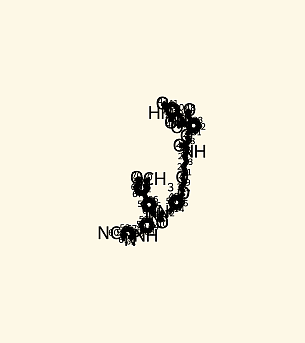 Cn1cc(-c2ccc(N(C(=O)NCc3ccc(OCCOCCCCNC(=O)COc4cccc5c4C(=O)N(C4CCC(=O)NC4=O)C5=O)cc3)[C@H]3CC[C@H](Nc4ccc(C#N)cn4)CC3)cc2)ccc1=O